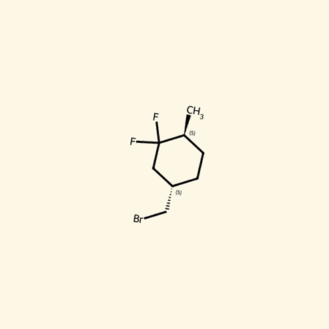 C[C@H]1CC[C@H](CBr)CC1(F)F